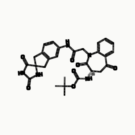 CC(C)(C)OC(=O)N[C@H]1CC(=O)c2ccccc2N(CC(=O)Nc2ccc3c(c2)CC2(C3)NC(=O)NC2=O)C1=O